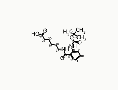 CC(C)(C)OC(=O)Nc1ccccc1C(=O)NCCCCCC(=O)O